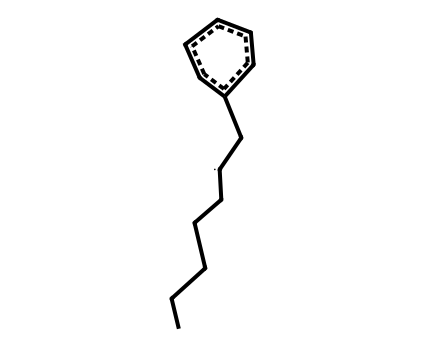 CCCCC[CH]Cc1ccccc1